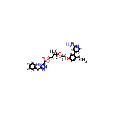 C=Cc1ccc(OCCOC(C)(C)CCCOC(=O)c2nnc(Cc3ccccc3)[nH]2)cc1-c1ccnc(N)c1